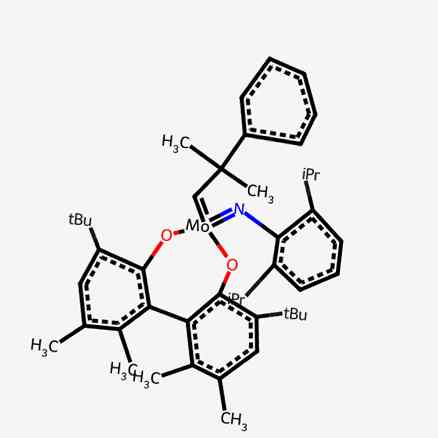 Cc1cc(C(C)(C)C)c2c(c1C)-c1c(C)c(C)cc(C(C)(C)C)c1[O][Mo](=[CH]C(C)(C)c1ccccc1)(=[N]c1c(C(C)C)cccc1C(C)C)[O]2